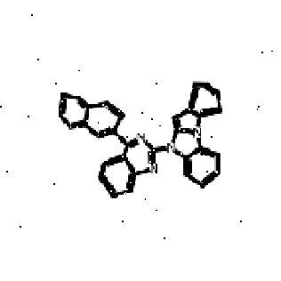 c1ccc2cc(-c3nc(-n4c5ccccc5n5c6ccccc6cc45)nc4ccccc34)ccc2c1